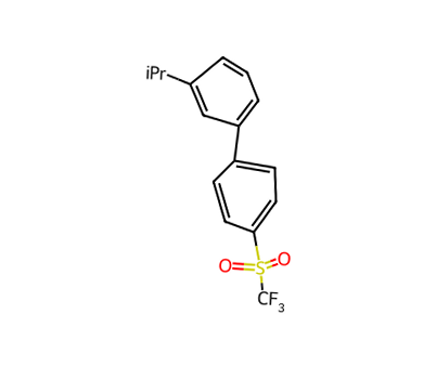 CC(C)c1cccc(-c2ccc(S(=O)(=O)C(F)(F)F)cc2)c1